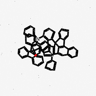 c1ccc(N(c2ccccc2)c2cccc3c2-c2ccccc2C32c3ccccc3-c3c2c(N(c2ccccc2)c2ccc4c(c2)C2(c5ccccc5-c5ccccc52)c2ccccc2-4)cc2ccccc32)cc1